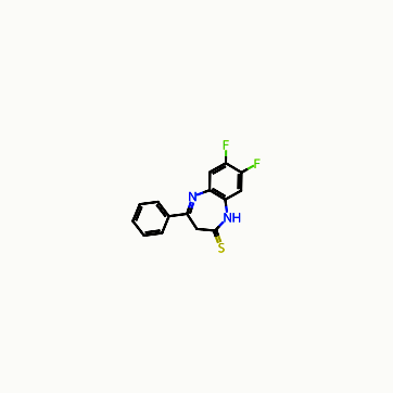 Fc1cc2c(cc1F)NC(=S)CC(c1ccccc1)=N2